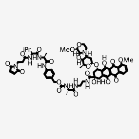 COc1cccc2c1C(=O)c1c(O)c3c(c(O)c1C2=O)C[C@@](O)(C(=O)NCCNC(=O)[C@H](C)NC(=O)OCc1ccc(NC(=O)[C@H](C)NC(=O)[C@@H](NC(=O)CCN2C(=O)C=CC2=O)C(C)C)cc1)C[C@@H]3O[C@H]1C[C@H]2[C@H](O[C@@H]3[C@@H](OC)OCCN32)[C@H](C)O1